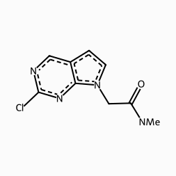 CNC(=O)Cn1ccc2cnc(Cl)nc21